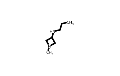 CCCNC1CN(C)C1